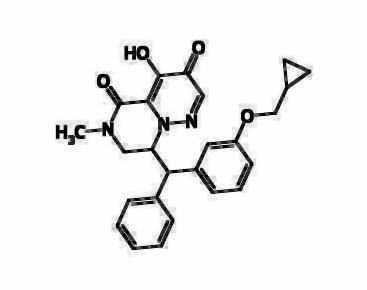 CN1CC(C(c2ccccc2)c2cccc(OCC3CC3)c2)n2ncc(=O)c(O)c2C1=O